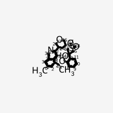 Cc1cc([C@@H](C)Oc2ccccc2C2(O)CS(=O)(=O)C2)c2cc(C3CCCOC3)ncc2c1